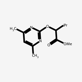 COC(=O)C(Oc1nc(C)cc(C)n1)C(C)C